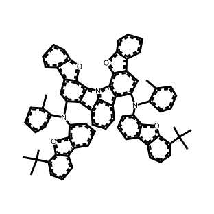 Cc1ccccc1N(c1cccc2c1oc1c(C(C)(C)C)cccc12)c1cc2c3ccccc3oc2c2c1c1cccc3c4c(N(c5ccccc5C)c5cccc6c5oc5c(C(C)(C)C)cccc56)cc5c6ccccc6oc5c4n2c13